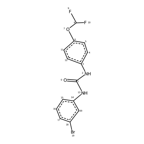 O=C(Nc1ccc(OC(F)F)cc1)Nc1cccc(Br)c1